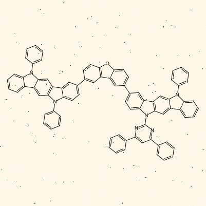 c1ccc(-c2cc(-c3ccccc3)nc(-n3c4ccc(-c5ccc6oc7ccc(-c8ccc9c(c8)c8cc%10c(cc8n9-c8ccccc8)c8ccccc8n%10-c8ccccc8)cc7c6c5)cc4c4cc5c(cc43)c3ccccc3n5-c3ccccc3)n2)cc1